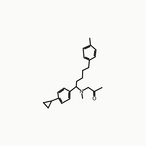 CC(=O)CN(C)C(CCCCc1ccc(C)cc1)c1ccc(C2CC2)cc1